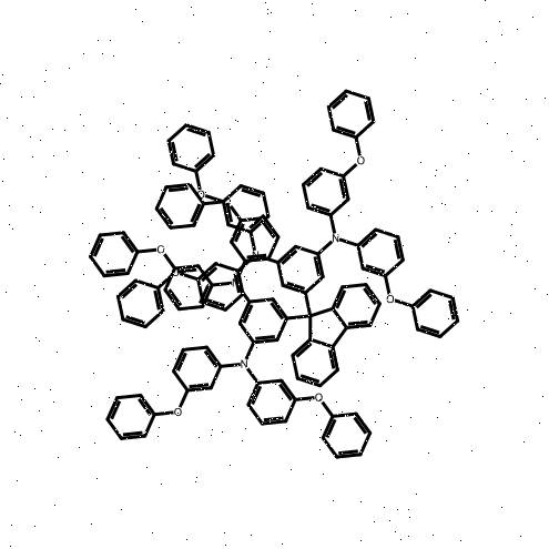 c1ccc(Oc2cccc(N(c3cccc(Oc4ccccc4)c3)c3cc(N(c4cccc(Oc5ccccc5)c4)c4cccc(Oc5ccccc5)c4)cc(C4(c5cc(N(c6cccc(Oc7ccccc7)c6)c6cccc(Oc7ccccc7)c6)cc(N(c6cccc(Oc7ccccc7)c6)c6cccc(Oc7ccccc7)c6)c5)c5ccccc5-c5ccccc54)c3)c2)cc1